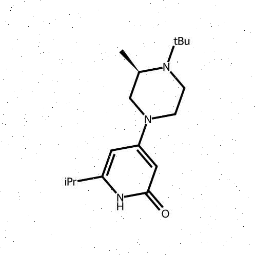 CC(C)c1cc(N2CCN(C(C)(C)C)[C@H](C)C2)cc(=O)[nH]1